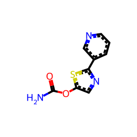 NC(=O)Oc1cnc(-c2cccnc2)s1